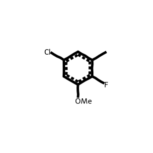 COc1cc(Cl)cc(C)c1F